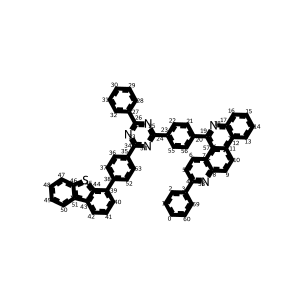 c1ccc(-c2ccc3c(ccc4c5ccccc5nc(-c5ccc(-c6nc(-c7ccccc7)nc(-c7ccc(-c8cccc9c8sc8ccccc89)cc7)n6)cc5)c34)n2)cc1